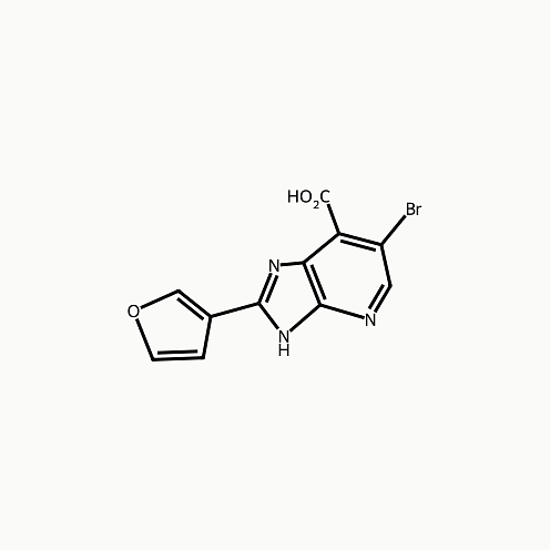 O=C(O)c1c(Br)cnc2[nH]c(-c3ccoc3)nc12